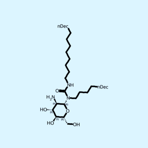 CCCCCCCCCCCCCCCCCCNC(=O)N(CCCCCCCCCCCCCC)[C@@H]1O[C@H](CO)[C@@H](O)[C@H](O)[C@H]1N